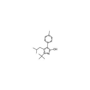 Cc1ccc(-c2c(O)nn(C(C)(C)C)c2CC(C)C)cc1